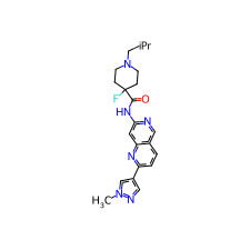 CC(C)CN1CCC(F)(C(=O)Nc2cc3nc(-c4cnn(C)c4)ccc3cn2)CC1